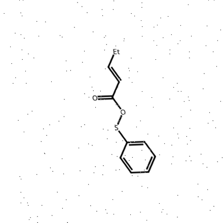 CCC=CC(=O)OSc1ccccc1